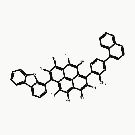 [2H]c1c([2H])c2c([2H])c([2H])c3c(-c4cccc5c4oc4ccccc45)c([2H])c([2H])c4c([2H])c([2H])c(c1-c1ccc(-c5cccc6ccccc56)cc1C)c2c43